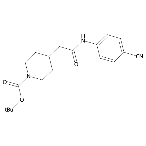 CC(C)(C)OC(=O)N1CCC(CC(=O)Nc2ccc(C#N)cc2)CC1